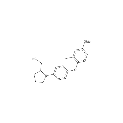 COc1ccc(Oc2ccc(N3CCCC3CC#N)cc2)c(C)c1